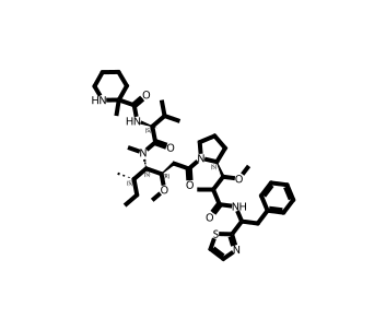 CC[C@H](C)[C@@H]([C@@H](CC(=O)N1CCC[C@H]1C(OC)C(C)C(=O)NC(Cc1ccccc1)c1nccs1)OC)N(C)C(=O)[C@@H](NC(=O)C1(C)CCCCN1)C(C)C